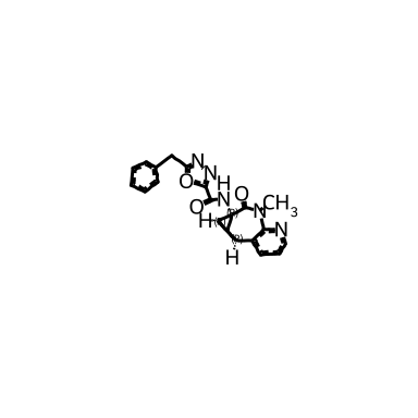 CN1C(=O)[C@@]2(NC(=O)c3nnc(Cc4ccccc4)o3)C3[C@@H](c4cccnc41)[C@H]32